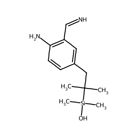 CC(C)(Cc1ccc(N)c(C=N)c1)[Si](C)(C)O